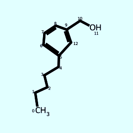 CCCCCc1cc[c]c(CO)c1